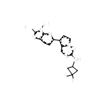 Cc1nc2ccc(-c3ccn4nc(NC5CC(F)(F)C5)ncc34)nc2n1C